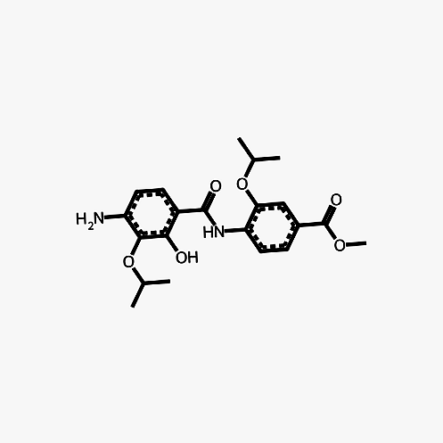 COC(=O)c1ccc(NC(=O)c2ccc(N)c(OC(C)C)c2O)c(OC(C)C)c1